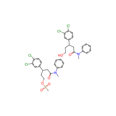 CN(C(=O)CC(CCO)c1ccc(Cl)c(Cl)c1)c1ccccc1.CN(C(=O)CC(CCOS(C)(=O)=O)c1ccc(Cl)c(Cl)c1)c1ccccc1